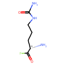 NC(=O)NCCC[C@H](N)C(=O)F